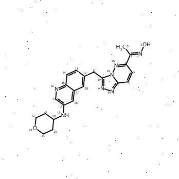 C/C(=N\O)c1ccc2nnc(Cc3ccc4ncc(NC5CCOCC5)cc4c3)n2n1